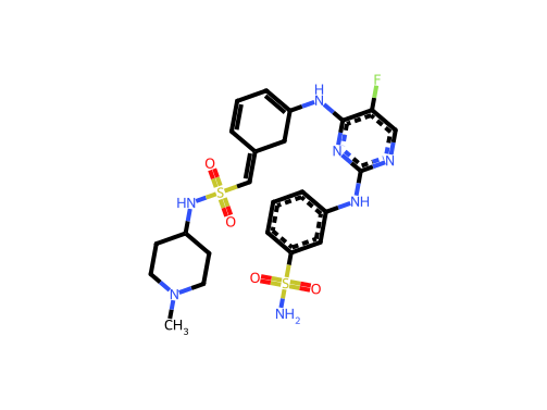 CN1CCC(NS(=O)(=O)/C=C2\C=CC=C(Nc3nc(Nc4cccc(S(N)(=O)=O)c4)ncc3F)C2)CC1